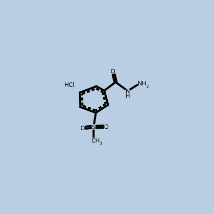 CS(=O)(=O)c1cccc(C(=O)NN)c1.Cl